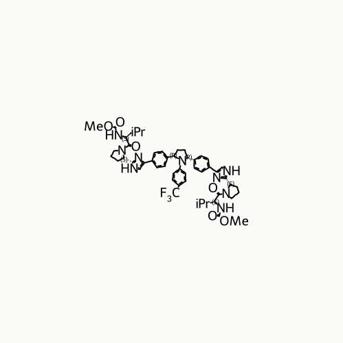 COC(=O)N[C@H](C(=O)N1CCC[C@H]1c1nc(-c2ccc([C@H]3CC[C@H](c4ccc(-c5c[nH]c([C@@H]6CCCN6C(=O)[C@@H](NC(=O)OC)C(C)C)n5)cc4)N3c3ccc(C(F)(F)F)cc3)cc2)c[nH]1)C(C)C